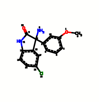 COc1cccc(C2(N)C(=O)Nc3ccc(Cl)cc32)c1